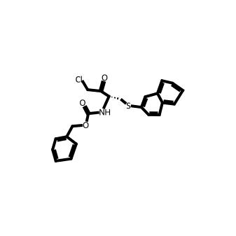 O=C(N[C@@H](CSc1ccc2ccccc2c1)C(=O)CCl)OCc1ccccc1